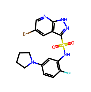 O=S(=O)(Nc1cc(N2CCCC2)ccc1F)c1n[nH]c2ncc(Br)cc12